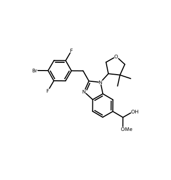 COC(O)c1ccc2nc(Cc3cc(F)c(Br)cc3F)n(C3COCC3(C)C)c2c1